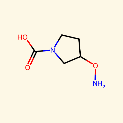 NOC1CCN(C(=O)O)C1